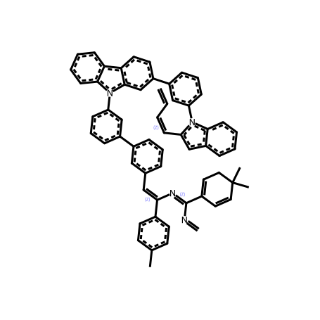 C=C/C=C\c1cc2ccccc2n1-c1cccc(-c2ccc3c4ccccc4n(-c4cccc(-c5cccc(/C=C(\N=C(/N=C)C6=CCC(C)(C)C=C6)c6ccc(C)cc6)c5)c4)c3c2)c1